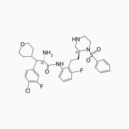 N[C@H](C(=O)Nc1cccc(F)c1CC[C@H]1CNCCN1S(=O)(=O)c1ccccc1)C(c1ccc(Cl)c(F)c1)C1CCOCC1